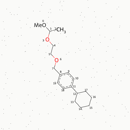 COC(C)OCCOCc1ccc(C2CCCCC2)cc1